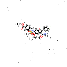 CNC(=O)c1c(-c2ccc(F)cc2)oc2cc(N(Cc3ccc(C(=O)OC)cc3)S(C)(=O)=O)c(OC(C)C)cc12